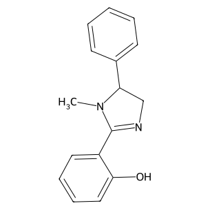 CN1C(c2ccccc2O)=NCC1c1ccccc1